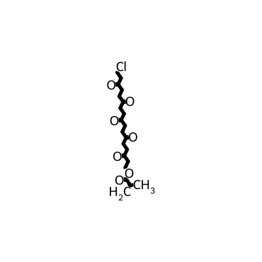 C=C(C)C(=O)OCCC(=O)CCC(=O)CCC(=O)CCC(=O)CCC(=O)CCCl